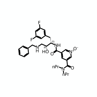 CCCN(CCC)C(=O)c1cc(C(=O)N[C@@H](Cc2cc(F)cc(F)c2)[C@H](O)CNCc2ccccc2)c[n+]([O-])c1